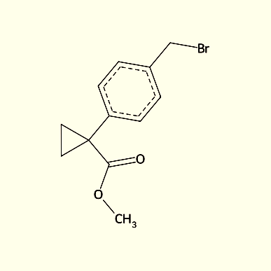 COC(=O)C1(c2ccc(CBr)cc2)CC1